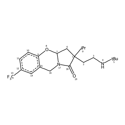 CC(C)C1(CCNC(C)(C)C)CC2Oc3ccc(C(F)(F)F)cc3CN2C1=O